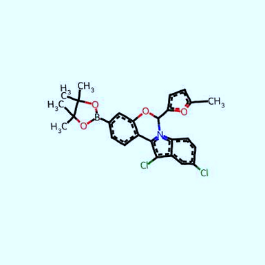 Cc1ccc(C2Oc3cc(B4OC(C)(C)C(C)(C)O4)ccc3-c3c(Cl)c4cc(Cl)ccc4n32)o1